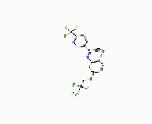 B/C(=N\c1cc(SCC(C)(F)F)ccc1F)c1ccc(C(F)(F)F)nc1